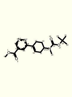 COC(=O)c1cnnc(C2=CCC(N(C)C(=O)OC(C)(C)C)CC2)c1